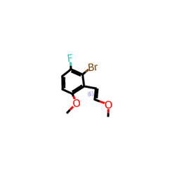 CO/C=C/c1c(OC)ccc(F)c1Br